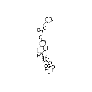 C[C@]12CC[C@@H]3c4ccc(OCC(=O)OCc5ccccc5)cc4CC[C@H]3[C@@H]1CC=C2OS(=O)(=O)C(F)(F)F